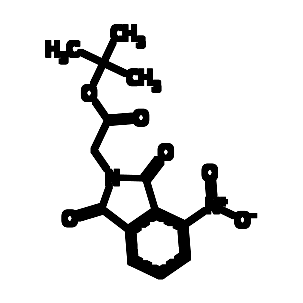 CC(C)(C)OC(=O)CN1C(=O)c2cccc([N+](=O)[O-])c2C1=O